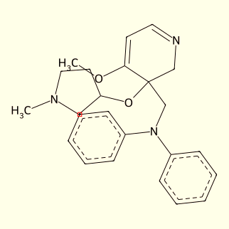 COC1=CC=NCC1(CN(c1ccccc1)c1ccccc1)OC1CCN(C)C1